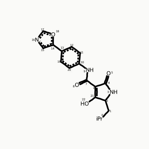 CC(C)CC1NC(=O)C(C(=O)Nc2ccc(-c3cnco3)cc2)=C1O